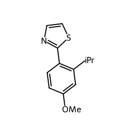 COc1ccc(-c2nccs2)c(C(C)C)c1